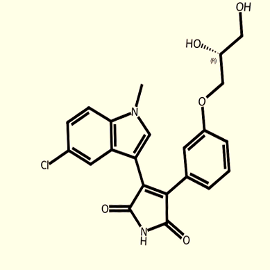 Cn1cc(C2=C(c3cccc(OC[C@H](O)CO)c3)C(=O)NC2=O)c2cc(Cl)ccc21